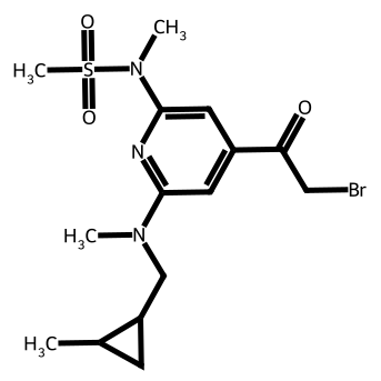 CC1CC1CN(C)c1cc(C(=O)CBr)cc(N(C)S(C)(=O)=O)n1